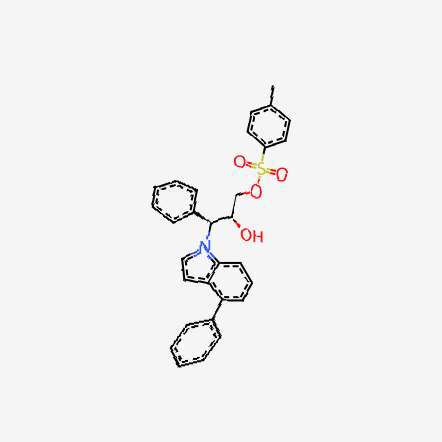 Cc1ccc(S(=O)(=O)OC[C@@H](O)[C@H](c2ccccc2)n2ccc3c(-c4ccccc4)cccc32)cc1